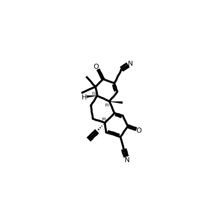 C#C[C@@]12C=C(C#N)C(=O)C=C1[C@@]1(C)C=C(C#N)C(=O)C(C)(C)[C@H]1CC2